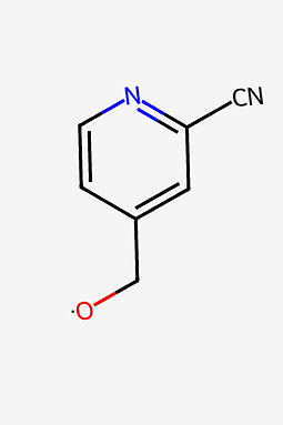 N#Cc1cc(C[O])ccn1